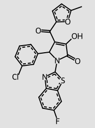 Cc1ccc(C(=O)C2=C(O)C(=O)N(c3nc4ccc(F)cc4s3)C2c2cccc(Cl)c2)o1